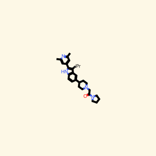 Cc1cc(-c2[nH]c3ccc(C4CCN(CC(=O)N5CCCC5)CC4)cc3c2C(C)C)cc(C)n1